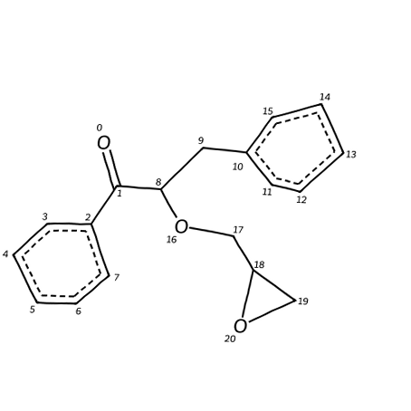 O=C(c1ccccc1)C(Cc1ccccc1)OCC1CO1